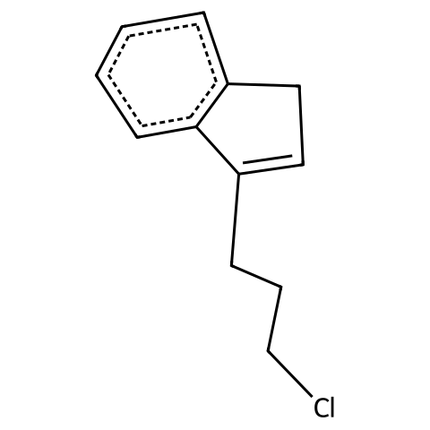 ClCCCC1=CCc2ccccc21